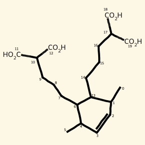 CC1C=CC(C)C(CCCC(C(=O)O)C(=O)O)C1CCCC(C(=O)O)C(=O)O